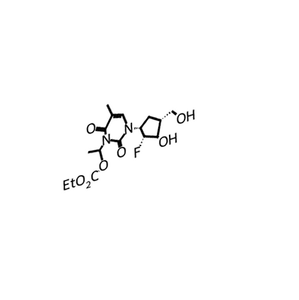 CCOC(=O)OC(C)n1c(=O)c(C)cn([C@@H]2C[C@H](CO)[C@@H](O)[C@@H]2F)c1=O